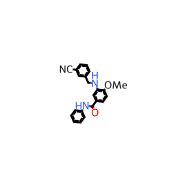 COc1ccc(C(=O)Nc2ccccc2)cc1NCc1cccc(C#N)c1